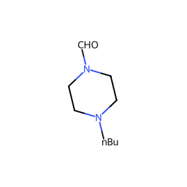 CCCCN1CCN(C=O)CC1